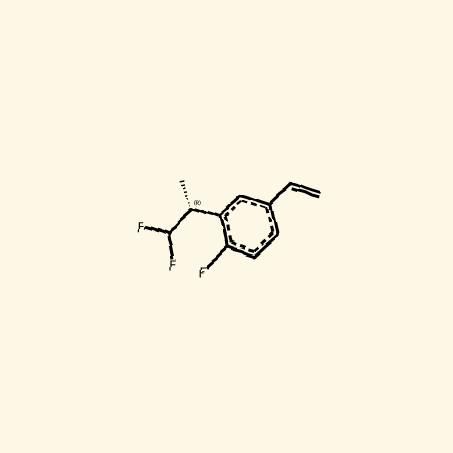 C=Cc1ccc(F)c([C@@H](C)C(F)F)c1